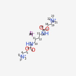 C[N+](C)(C)CCOC(=O)NCCCCNC(=O)OCC[N+](C)(C)C.[I-].[I-]